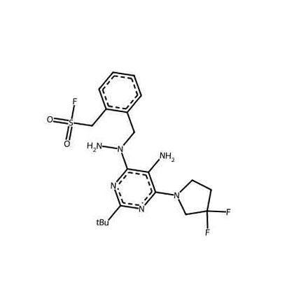 CC(C)(C)c1nc(N(N)Cc2ccccc2CS(=O)(=O)F)c(N)c(N2CCC(F)(F)C2)n1